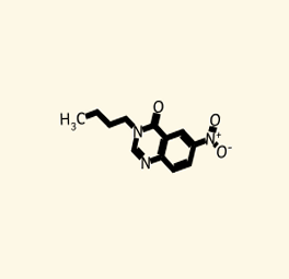 CCCCn1cnc2ccc([N+](=O)[O-])cc2c1=O